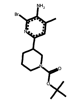 Cc1cc(C2CCCN(C(=O)OC(C)(C)C)C2)nc(Br)c1N